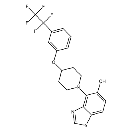 Oc1ccc2scnc2c1N1CCC(Oc2cccc(C(F)(F)C(F)(F)F)c2)CC1